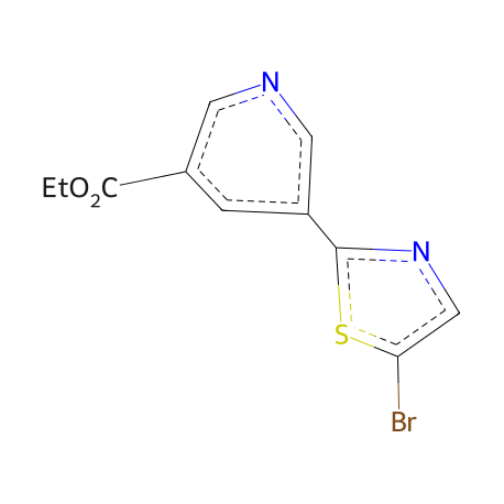 CCOC(=O)c1cncc(-c2ncc(Br)s2)c1